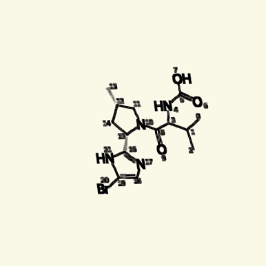 CC(C)C(NC(=O)O)C(=O)N1C[C@@H](C)C[C@H]1c1ncc(Br)[nH]1